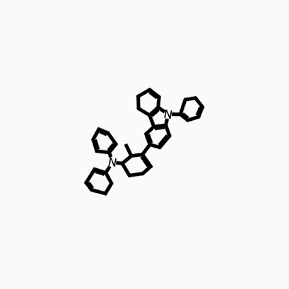 CC1C(c2ccc3c(c2)c2c(n3C3=CC=CCC3)C=CCC2)=CCCC1N(C1=CC=CCC1)c1ccccc1